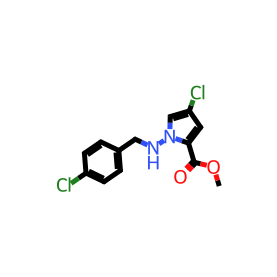 COC(=O)c1cc(Cl)cn1NCc1ccc(Cl)cc1